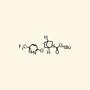 CC(C)(C)OC(=O)N1C[C@H]2C[C@@H](Oc3ccc(C(F)(F)F)nn3)[C@@H]1C2